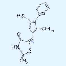 C=c1[nH]c(=O)/c(=C\c2cc(C)n(-c3ccccc3)c2C)s1